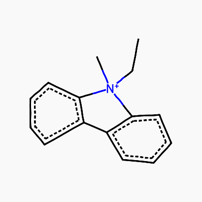 CC[N+]1(C)c2ccccc2-c2ccccc21